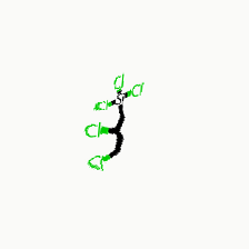 ClCC(Cl)C[Si](Cl)(Cl)Cl